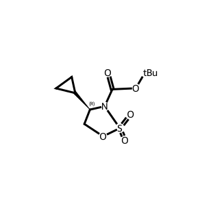 CC(C)(C)OC(=O)N1[C@H](C2CC2)COS1(=O)=O